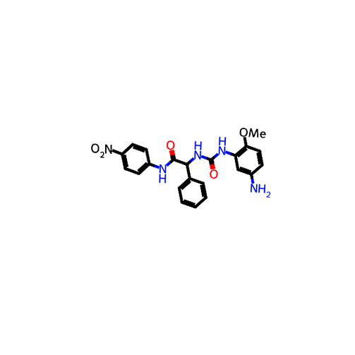 COc1ccc(N)cc1NC(=O)NC(C(=O)Nc1ccc([N+](=O)[O-])cc1)c1ccccc1